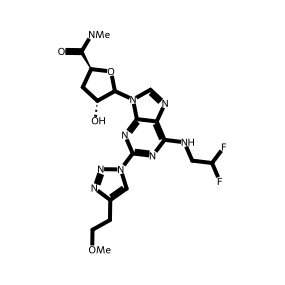 CNC(=O)[C@@H]1C[C@@H](O)C(n2cnc3c(NCC(F)F)nc(-n4cc(CCOC)nn4)nc32)O1